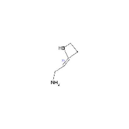 NC/C=C1\BCC1